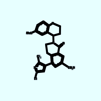 CCn1cc(-c2cc(C(=O)O)cc3c2CCN(C2CCOc4ccc(OC)cc42)C3=O)c(C(F)(F)F)n1